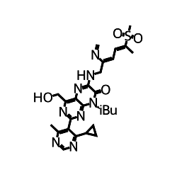 C=N/C(=C\C=C(/C)S(C)(=O)=O)CNc1nc2c(CO)nc(-c3c(C)ncnc3C3CC3)nc2n([C@H](C)CC)c1=O